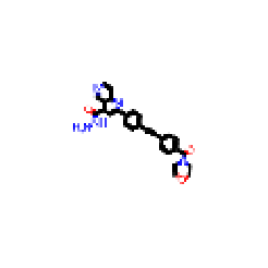 NNC(=O)c1cc(-c2ccc(C#Cc3ccc(C(=O)N4CCOCC4)cc3)cc2)nc2ccncc12